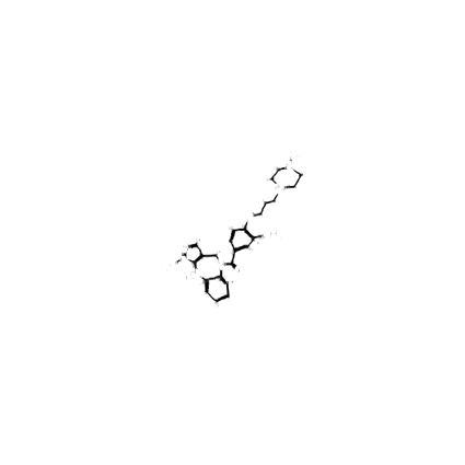 CC(=O)N1CCN(CCCOc2ccc(C(=O)N3Cc4cnn(C)c4Nc4ccccc43)cc2C)CC1